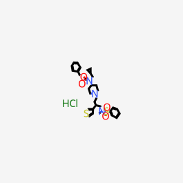 CN(CC(CCN1CCC(N(CC2CC2)C(=O)OCc2ccccc2)CC1)c1ccsc1)S(=O)(=O)c1ccccc1.Cl